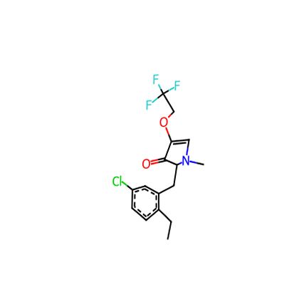 CCc1ccc(Cl)cc1CC1C(=O)C(OCC(F)(F)F)=CN1C